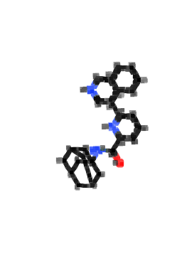 O=C(NC12CC3CC(CC(C3)C1)C2)c1cccc(-c2cncc3ccccc23)n1